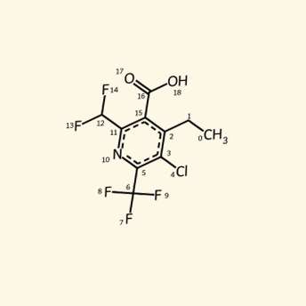 CCc1c(Cl)c(C(F)(F)F)nc(C(F)F)c1C(=O)O